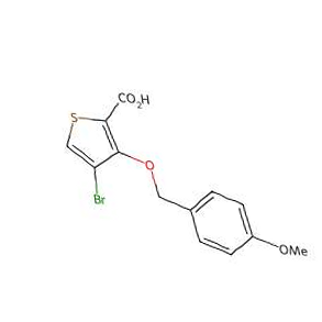 COc1ccc(COc2c(Br)csc2C(=O)O)cc1